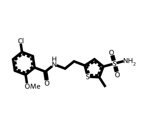 COc1ccc(Cl)cc1C(=O)NCCc1cc(S(N)(=O)=O)c(C)s1